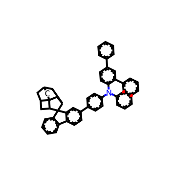 c1ccc(-c2ccc(N(c3ccccc3)c3ccc(-c4ccc5c(c4)C4(c6ccccc6-5)C5CC6CC7CC4C7(C6)C5)cc3)c(-c3ccccc3)c2)cc1